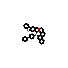 c1ccc(-c2ccc(N(c3cccc4cc5c(cc34)oc3ccccc35)c3cc4ccccc4c4ccc5ccccc5c34)cc2)cc1